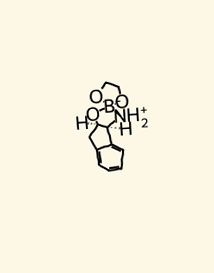 c1ccc2c(c1)C[C@H]1O[B-]3([NH2+][C@@H]21)OCCO3